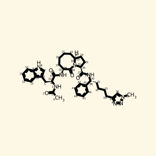 CC(=O)N[C@@H](Cc1c[nH]c2ccccc12)C(=O)N[C@H]1CCCC[C@H]2CC[C@@H](C(=O)N[C@H](CCCCc3cn(C)nn3)c3ccccc3)N2C1=O